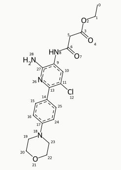 CCOC(=O)CC(=O)Nc1cc(Cl)c(-c2ccc(N3CCOCC3)cc2)nc1N